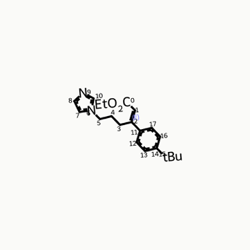 CCOC(=O)/C=C(\CCCn1ccnc1)c1ccc(C(C)(C)C)cc1